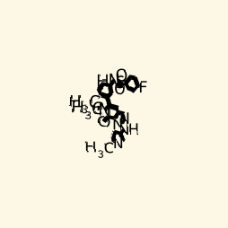 Cc1ccc(Nc2ncc3cc(-c4cc(NS(=O)(=O)c5ccc(F)cc5)ccc4C)n(C)c(=O)c3n2)cn1